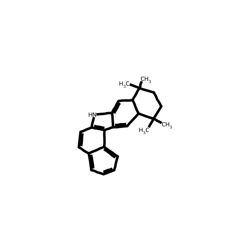 CC1(C)CCC(C)(C)C2C=c3c([nH]c4ccc5ccccc5c34)=CC21